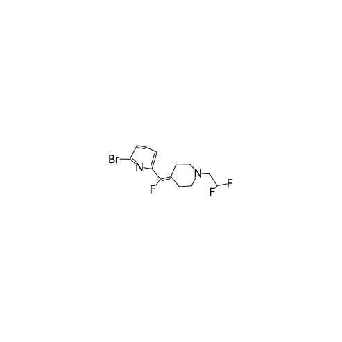 FC(=C1CCN(CC(F)F)CC1)c1cccc(Br)n1